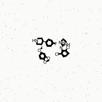 Clc1cccc(Cl)c1N=C1NCCN1.Fc1ccc([C@@H]2CCNC[C@H]2COc2ccc3c(c2)OCO3)cc1